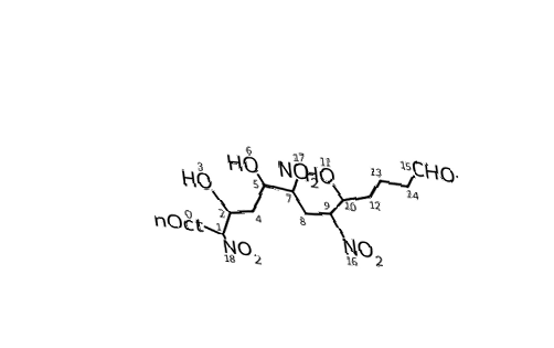 CCCCCCCCC(C(O)CC(O)C(CC(C(O)CCC[C]=O)[N+](=O)[O-])[N+](=O)[O-])[N+](=O)[O-]